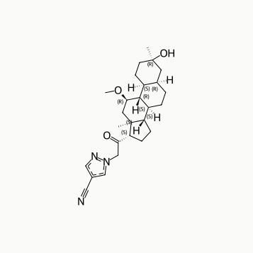 CO[C@@H]1C[C@]2(C)[C@@H](C(=O)Cn3cc(C#N)cn3)CC[C@H]2[C@@H]2CC[C@@H]3C[C@](C)(O)CC[C@@H]3[C@H]21